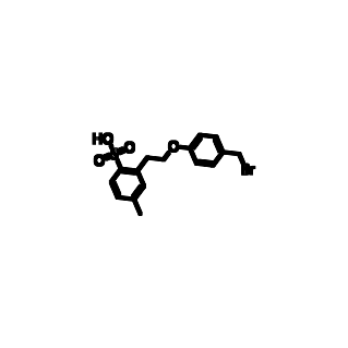 Cc1ccc(S(=O)(=O)O)c(CCOc2ccc(CBr)cc2)c1